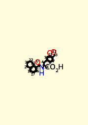 O=C(NC(Cc1ccc2c(c1)OOC2)C(=O)O)c1cccc2c1CCCC2